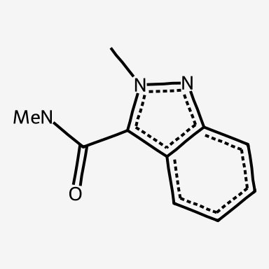 CNC(=O)c1c2ccccc2nn1C